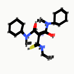 CN(/C(O)=C(\C(=O)N(C=O)C1CCCCC1)C(=S)NCC(=O)O)C1CCCCC1